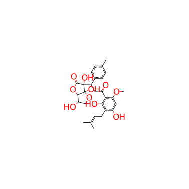 COc1cc(O)c(CC=C(C)C)c(O)c1C(=O)CC(c1ccc(C)cc1)C1(O)C(=O)OC2C(O)COC21O